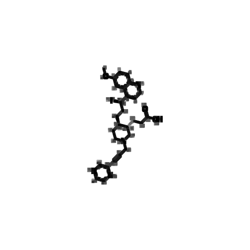 COc1ccc2nccc([C@H](F)CC[C@@H]3CCN(CC#Cc4cnccn4)C[C@H]3CCC(=O)O)c2c1